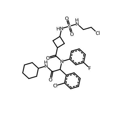 O=C(NC1CCCCC1)C(c1ccccc1Cl)N(C(=O)C1CC(NS(=O)(=O)NCCCl)C1)c1cccc(F)c1